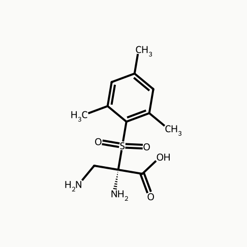 Cc1cc(C)c(S(=O)(=O)[C@](N)(CN)C(=O)O)c(C)c1